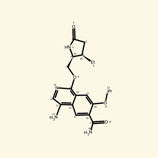 CC[C@@H]1CC(=O)N[C@@H]1COc1ncc(N)c2cc(C(N)=O)c(OC(C)C)cc12